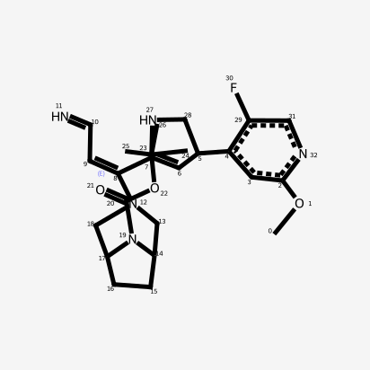 COc1cc(C2C=C(/C(=C\C=N)N3CC4CCC(C3)N4C(=O)OC(C)(C)C)NC2)c(F)cn1